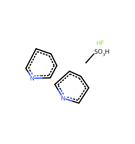 CS(=O)(=O)O.F.c1ccncc1.c1ccncc1